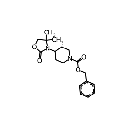 CC1(C)COC(=O)N1C1CCN(C(=O)OCc2ccccc2)CC1